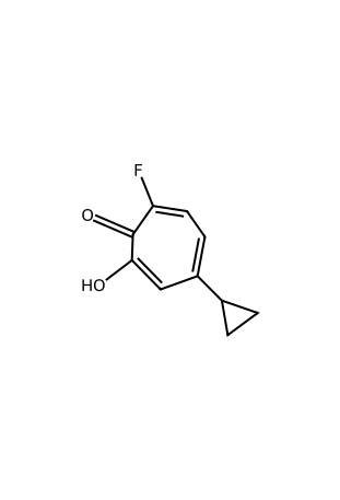 O=c1c(O)cc(C2CC2)ccc1F